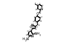 Cc1ccnc(COc2ccc(Cc3cc(-c4ccc(N)nc4N)on3)cc2)c1